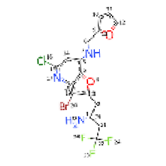 N[C@H](Cc1oc2c(NCc3ccco3)cc(Cl)nc2c1Br)CC(F)(F)F